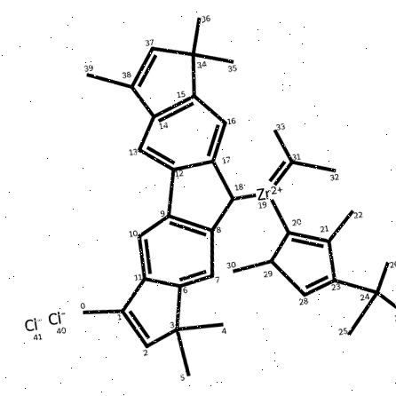 CC1=CC(C)(C)c2cc3c(cc21)-c1cc2c(cc1[CH]3[Zr+2]([C]1=C(C)C(C(C)(C)C)=CC1C)=[C](C)C)C(C)(C)C=C2C.[Cl-].[Cl-]